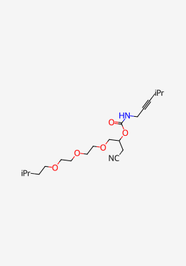 CC(C)C#CCNC(=O)OC(CC#N)COCCOCCOCCC(C)C